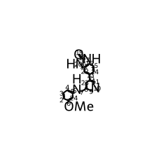 COc1cccc(NCc2cncc(-c3ccc4[nH]c(=O)[nH]c4c3)c2)c1